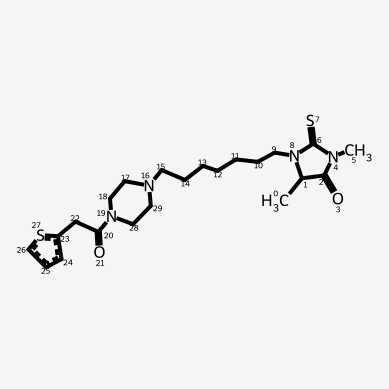 CC1C(=O)N(C)C(=S)N1CCCCCCCN1CCN(C(=O)Cc2cccs2)CC1